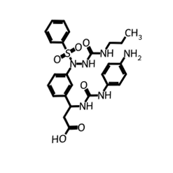 CCCNC(=O)NN(c1cccc(C(CC(=O)O)NC(=O)Nc2ccc(N)cc2)c1)S(=O)(=O)c1ccccc1